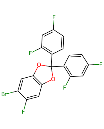 Fc1ccc(C2(c3ccc(F)cc3F)Oc3cc(F)c(Br)cc3O2)c(F)c1